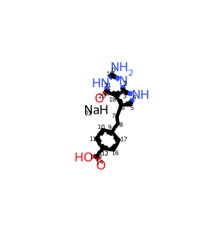 Nc1nc2[nH]cc(CCc3ccc(C(=O)O)cc3)c2c(=O)[nH]1.[NaH]